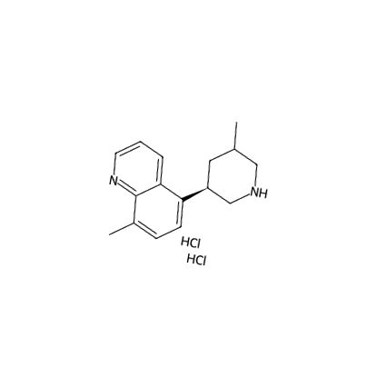 Cc1ccc([C@@H]2CNCC(C)C2)c2cccnc12.Cl.Cl